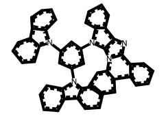 c1ccc2c(c1)c1ccccc1n1c2nc2c3ccccc3n(-c3cc(-n4c5ccccc5c5ccccc54)cc(-n4c5ccccc5c5ccccc54)c3)c21